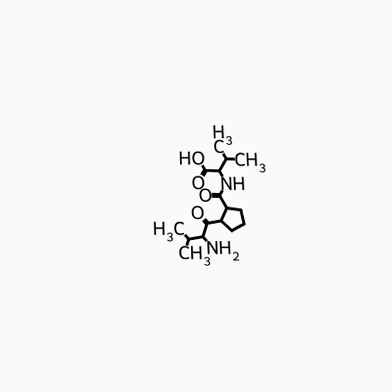 CC(C)C(N)C(=O)C1CCCC1C(=O)NC(C(=O)O)C(C)C